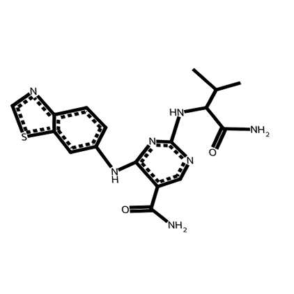 CC(C)C(Nc1ncc(C(N)=O)c(Nc2ccc3ncsc3c2)n1)C(N)=O